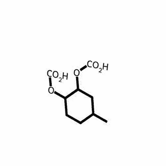 CC1CCC(OC(=O)O)C(OC(=O)O)C1